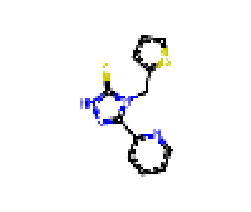 S=c1[nH]nc(-c2ccccn2)n1Cc1cccs1